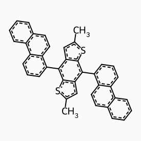 Cc1cc2c(-c3cccc4c3ccc3ccccc34)c3sc(C)cc3c(-c3cccc4c3ccc3ccccc34)c2s1